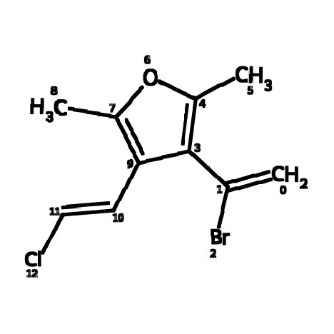 C=C(Br)c1c(C)oc(C)c1/C=C/Cl